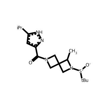 CC(C)c1cc(C(=O)N2CC3(C2)CN([S+]([O-])C(C)(C)C)C3C)n[nH]1